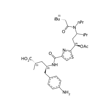 CCCN(C(=O)C[C@@H](C)CC)C(C[C@@H](OC(C)=O)c1nc(C(=O)N[C@@H](Cc2ccc(N)cc2)C[C@H](C)C(=O)O)cs1)C(C)C